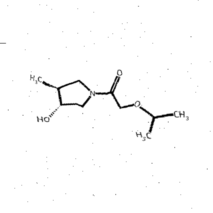 CC(C)OCC(=O)N1C[C@H](C)[C@@H](O)C1